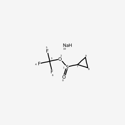 O=S(OC(F)(F)F)C1CC1.[NaH]